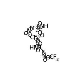 O=C(/C=C/C(=O)OCc1c[nH]c(=O)n(CCCN2CCN(c3ccccc3OCC(F)(F)F)CC2)c1=O)OCc1c[nH]c(=O)n(CCCN2CCN(c3ccccc3OCC(F)(F)F)CC2)c1=O